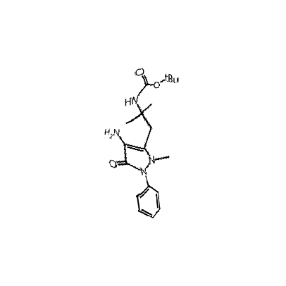 Cn1c(CC(C)(C)NC(=O)OC(C)(C)C)c(N)c(=O)n1-c1ccccc1